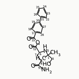 CC(C)(CO)N[C@@H](CCC(N)=O)C(=O)OC(=O)c1ccc(-c2ccccc2)cc1